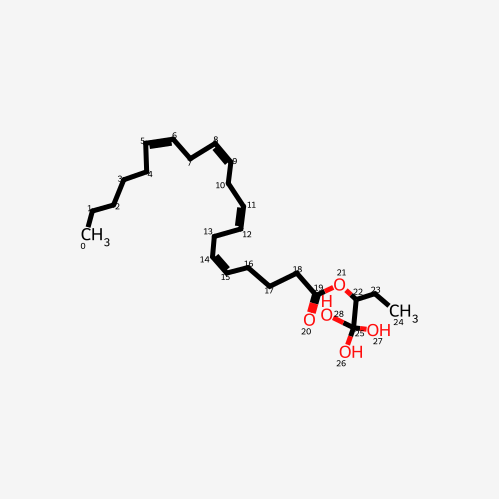 CCCCC/C=C\C/C=C\C/C=C\C/C=C\CCCC(=O)OC(CC)C(O)(O)O